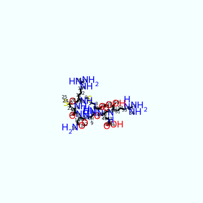 CSCC[C@H](NC(=O)[C@H](C)NC(=O)[C@H](CC(N)=O)NC(=O)[C@H](CCSC)NC(=O)[C@@H](N)CCCNC(=N)N)C(=O)N[C@@H](CCC(=O)O)C(=O)N[C@@H](CCCNC(=N)N)C(=O)O